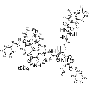 C=CC[C@H](NC(=O)[C@@H](CCCNC(=N)NS(=O)(=O)c1c(C)c(C)c2c(c1C)CCC(C)(C)O2)NC(=O)[C@@H](CCCCNC(=O)OC(C)(C)C)NC(=O)COC1=C(c2c(OC/C=C/c3ccccc3)ccc3ccccc23)[C@@]2(C)C=CC=C[C@H]2C=C1)C(=O)OCc1ccccc1